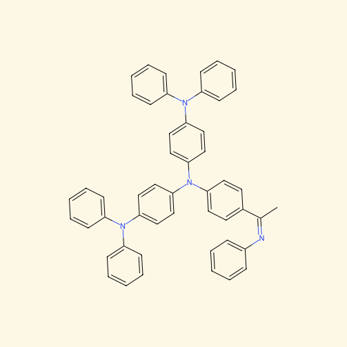 C/C(=N/c1ccccc1)c1ccc(N(c2ccc(N(c3ccccc3)c3ccccc3)cc2)c2ccc(N(c3ccccc3)c3ccccc3)cc2)cc1